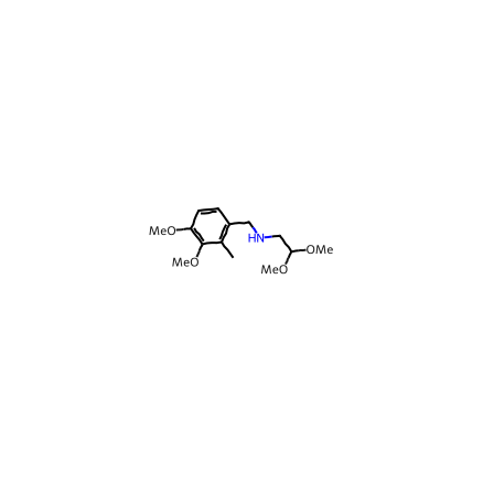 COc1ccc(CNCC(OC)OC)c(C)c1OC